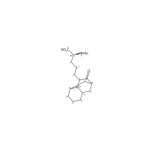 CC(=O)N[C@@H](CSCC1C(=O)C2CC3CCCC(C2)N31)C(=O)O